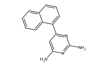 Nc1cc(-c2cccc3ccccc23)nc(N)n1